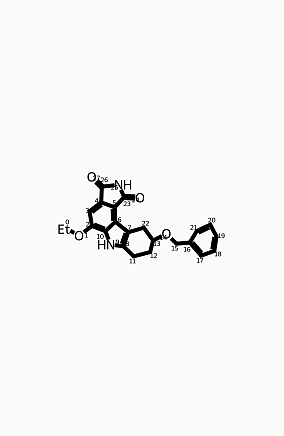 CCOc1cc2c(c3c4c([nH]c13)CCC(OCc1ccccc1)C4)C(=O)NC2=O